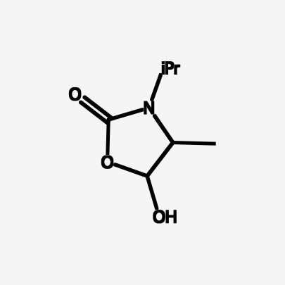 CC(C)N1C(=O)OC(O)C1C